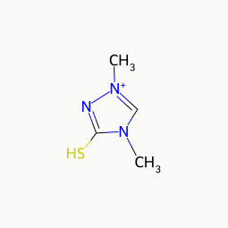 Cn1c[n+](C)nc1S